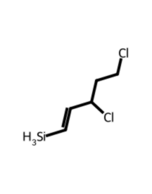 [SiH3]C=CC(Cl)CCCl